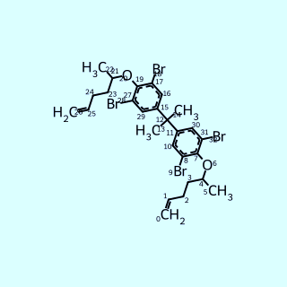 C=CCCC(C)Oc1c(Br)cc(C(C)(C)c2cc(Br)c(OC(C)CCC=C)c(Br)c2)cc1Br